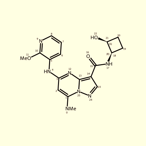 CNc1cc(Nc2cccnc2OC)nc2c(C(=O)N[C@@H]3CC[C@@H]3O)cnn12